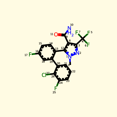 Cn1nc(C(F)(F)F)c(C(N)=O)c1-c1ccc(F)cc1-c1cccc(F)c1Cl